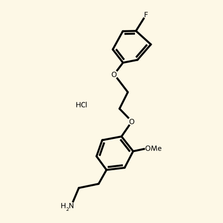 COc1cc(CCN)ccc1OCCOc1ccc(F)cc1.Cl